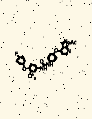 CC(=O)n1ncc2c(Oc3ccc(NC(=O)Nc4ccc(Oc5ccc(F)cc5)c(C(F)(F)F)c4)cc3)ccnc21